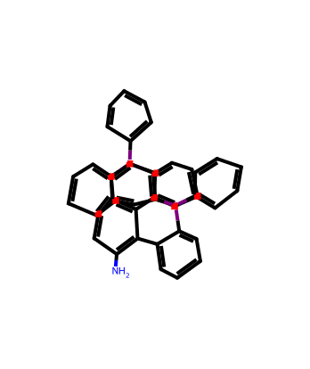 Nc1cccc(-c2ccccc2P(c2ccccc2)c2ccccc2)c1-c1ccccc1P(c1ccccc1)c1ccccc1